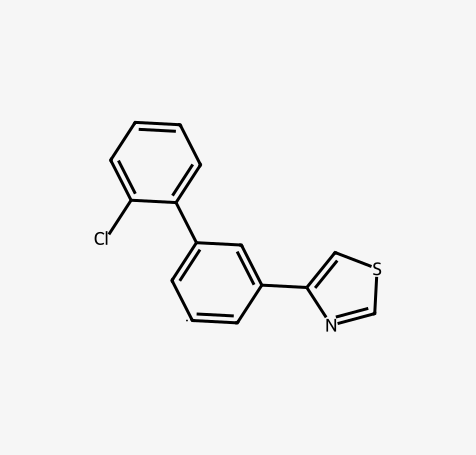 Clc1ccccc1-c1c[c]cc(-c2cscn2)c1